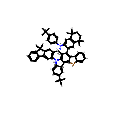 CC(C)(C)c1ccc(Nc2cc3c(cc2-c2c4c5c(c6cc(C(C)(C)C)ccc6n5-c5cc6c(cc5B4)C(C)(C)c4ccccc4-6)c4sc5ccccc5c24)C(C)(C)CCC3(C)C)cc1